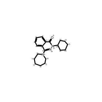 O=c1c2ccccc2c(N2C[CH]CCCC2)nn1C1CCCCC1